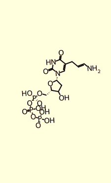 NC=CCc1cn([C@@H]2CC(O)[C@H](COP(=O)(O)OP(=O)(O)OP(=O)(O)O)O2)c(=O)[nH]c1=O